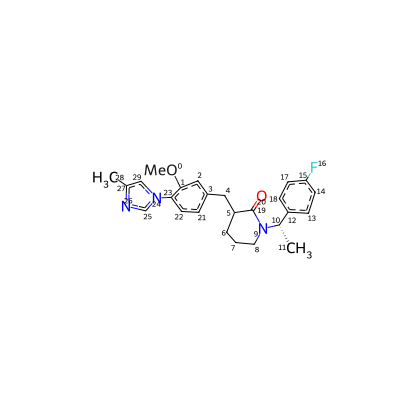 COc1cc(CC2CCCN([C@@H](C)c3ccc(F)cc3)C2=O)ccc1-n1cnc(C)c1